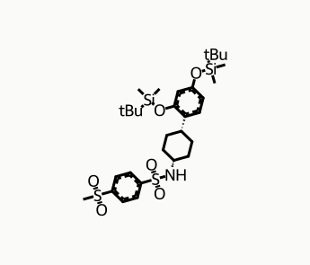 CC(C)(C)[Si](C)(C)Oc1ccc([C@H]2CC[C@@H](NS(=O)(=O)c3ccc(S(C)(=O)=O)cc3)CC2)c(O[Si](C)(C)C(C)(C)C)c1